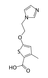 Cc1cc(OCCn2ccnc2)sc1C(=O)O